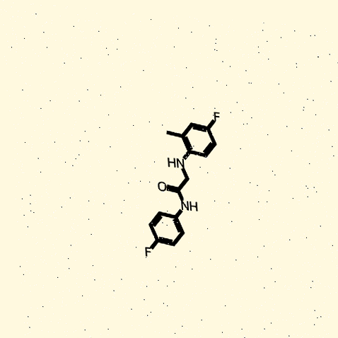 Cc1cc(F)ccc1NCC(=O)Nc1ccc(F)cc1